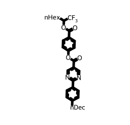 CCCCCCCCCCc1ccc(-c2ncc(C(=O)Oc3ccc(C(=O)OC(CCCCCC)C(F)(F)F)cc3)cn2)cc1